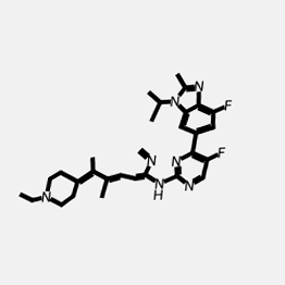 C=N/C(=C\C=C(/C)C(C)=C1CCN(CC)CC1)Nc1ncc(F)c(-c2cc(F)c3nc(C)n(C(C)C)c3c2)n1